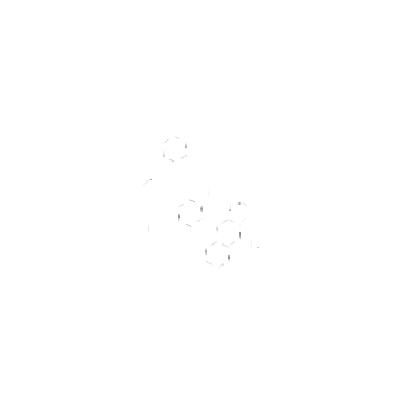 Cc1cc(-c2c3ccccc3c(Br)c3sc(C)c(C)c23)cc(C)c1O[C@@H](Cc1ccccc1)C(=O)O